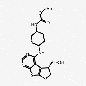 CC(C)(C)OC(=O)NC1CCC(Nc2ncnc3sc4c(c23)[C@@H](CO)CC4)CC1